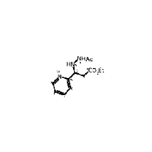 CCOC(=O)CC(NNC(C)=O)c1ccccn1